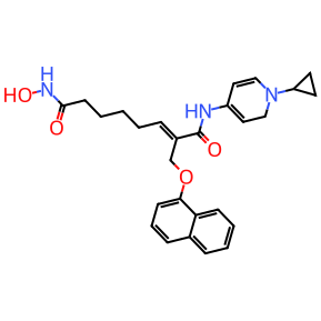 O=C(CCCC/C=C(\COc1cccc2ccccc12)C(=O)NC1=CCN(C2CC2)C=C1)NO